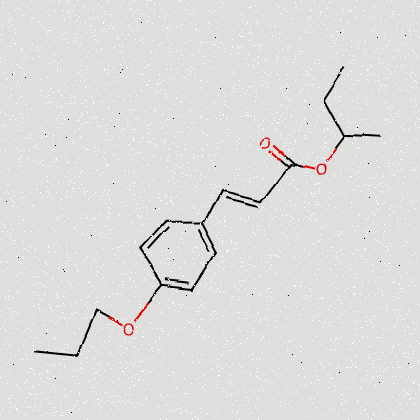 CCCOc1ccc(C=CC(=O)OC(C)CC)cc1